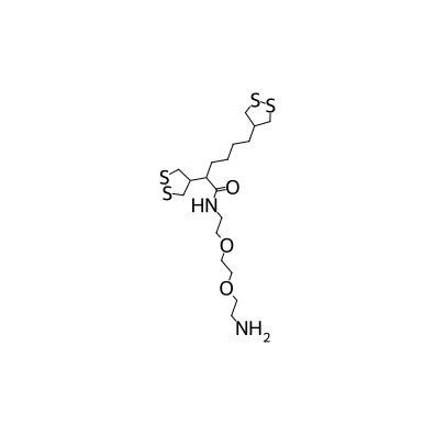 NCCOCCOCCNC(=O)C(CCCCC1CSSC1)C1CSSC1